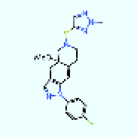 COC12Cc3cnn(-c4ccc(F)cc4)c3C=C1CCN(Sc1cnn(C)n1)C2